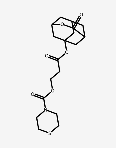 O=C(CCOC(=O)N1CCSCC1)OC12CC3CC(C1)OC(=O)C(C3)C2